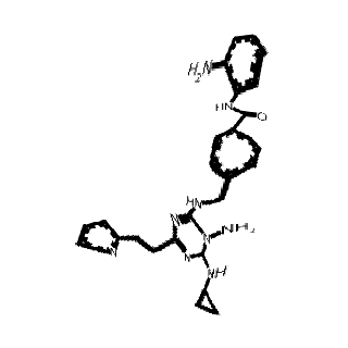 Nc1ccccc1NC(=O)c1ccc(CNC2=NC(CCc3ccccn3)=NC(NC3CC3)N2N)cc1